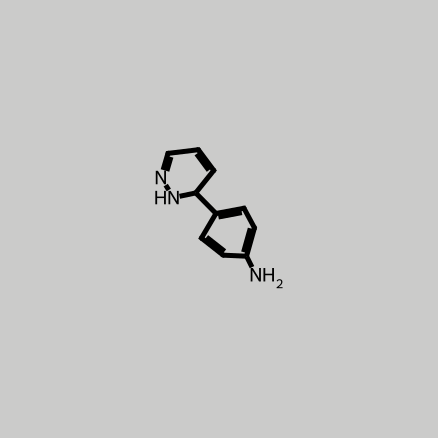 Nc1ccc(C2C=CC=NN2)cc1